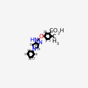 Cc1ccc(Oc2nc3c([nH]2)CN(c2ccccc2)C3)cc1C(=O)O